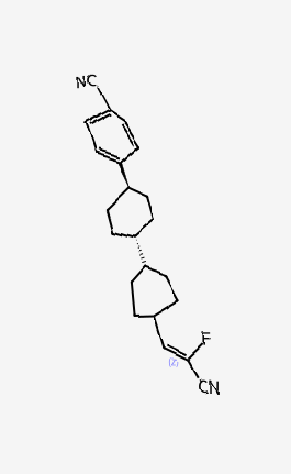 N#C/C(F)=C/C1CCC([C@H]2CC[C@H](c3ccc(C#N)cc3)CC2)CC1